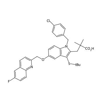 CC(C)(C)Sc1c(CC(C)(C)C(=O)O)n(Cc2ccc(Cl)cc2)c2ccc(OCc3ccc4cc(F)ccc4n3)cc12